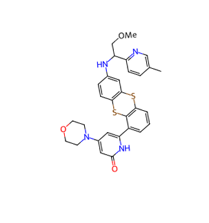 COCC(Nc1ccc2c(c1)Sc1cccc(-c3cc(N4CCOCC4)cc(=O)[nH]3)c1S2)c1ccc(C)cn1